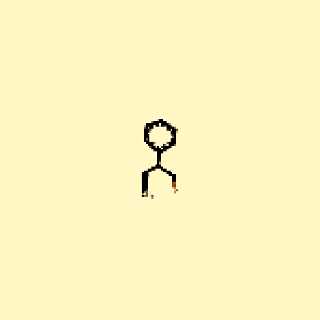 C=CC(CBr)c1ccccc1